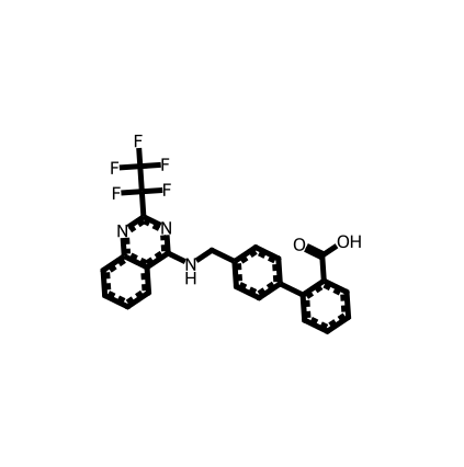 O=C(O)c1ccccc1-c1ccc(CNc2nc(C(F)(F)C(F)(F)F)nc3ccccc23)cc1